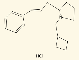 C(=C\c1ccccc1)/CC1CCCN1CC1CCC1.Cl